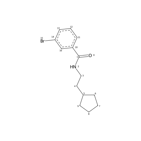 O=C(NCCC1CCCC1)c1cccc(Br)c1